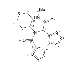 CC(C)(C)NC(=O)C1c2sccc2-c2ccoc2C(=O)N1C1CCCCC1